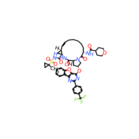 CC1(S(=O)(=O)NC(=O)[C@@]23C[C@H]2/C=C\CCCCC[C@H](NC(=O)C2CCOCC2)C(=O)N2C[C@H](Oc4nc(-c5ccc(C(F)(F)F)cc5)nc5c4oc4ccccc45)C[C@H]2C(=O)N3)CC1